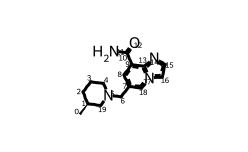 C[C@H]1CCCN(Cc2cc(C(N)=O)c3nccn3c2)C1